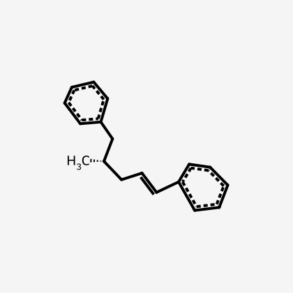 C[C@@H](CC=Cc1ccccc1)Cc1ccccc1